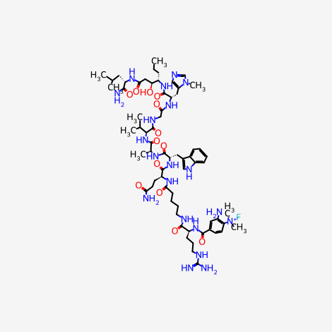 CCC[C@H](NC(=O)[C@H](Cc1cncn1C)NC(=O)CNC(=O)[C@@H](NC(=O)[C@H](C)NC(=O)[C@H](Cc1c[nH]c2ccccc12)NC(=O)[C@H](CCC(N)=O)NC(=O)CCCCNC(=O)[C@H](CCCNC(=N)N)NC(=O)c1ccc([N+](C)(C)F)c(N)c1)C(C)C)[C@@H](O)CC(=O)N[C@@H](CC(C)C)C(N)=O